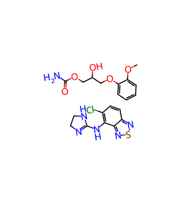 COc1ccccc1OCC(O)COC(N)=O.Clc1ccc2nsnc2c1NC1=NCCN1